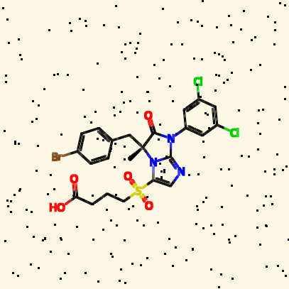 C[C@@]1(Cc2ccc(Br)cc2)C(=O)N(c2cc(Cl)cc(Cl)c2)c2ncc(S(=O)(=O)CCCC(=O)O)n21